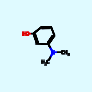 CN(C)c1[c]c(O)ccc1